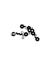 C[C@]12C[C@H](Oc3ccc(NC(=O)CCCCN4CCOCC4)cc3)[C@@H]3c4ccc(OCc5ccccc5)cc4CC[C@H]3[C@@H]1CC[C@@H]2OCc1ccccc1